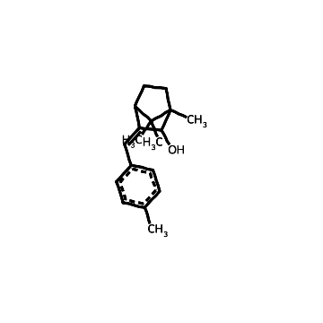 Cc1ccc(/C=C2/C3CCC(C)(C2O)C3(C)C)cc1